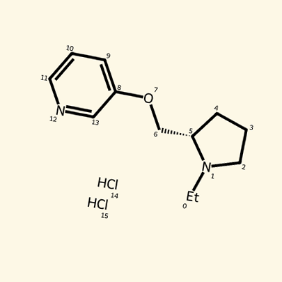 CCN1CCC[C@H]1COc1cccnc1.Cl.Cl